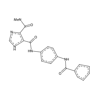 CNC(=O)c1nc[nH]c1C(=O)Nc1ccc(NC(=O)c2ccccc2)cc1